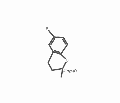 C[C@@]1(C=O)CCc2cc(F)ccc2O1